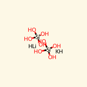 O[Si](O)(O)O.O[Si](O)(O)O.[KH].[LiH]